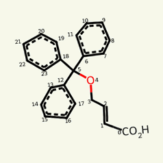 O=C(O)/C=C/COC(c1ccccc1)(c1ccccc1)c1ccccc1